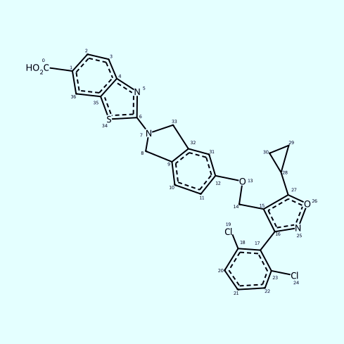 O=C(O)c1ccc2nc(N3Cc4ccc(OCc5c(-c6c(Cl)cccc6Cl)noc5C5CC5)cc4C3)sc2c1